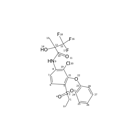 CCS(=O)(=O)c1ccc(NC(=O)C(C)(O)C(F)(F)F)c(Cl)c1Oc1ccccc1